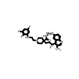 COc1ccc2ncc(C)c([C@H](F)CCC3(C(=O)NO)CCN(CCNc4cc(F)cc(F)c4F)CC3)c2c1